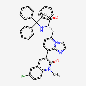 COC(=O)[C@H](Cc1ccc(-c2cc3cc(F)ccc3n(C)c2=O)c2nccn12)NC(c1ccccc1)(c1ccccc1)c1ccccc1